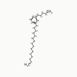 CCCCCCCCCCCCCCCC[n+]1cccc(CCCCC)c1